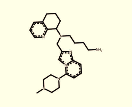 CN1CCN(c2cccc3nc(CN(CCCCN)C4CCCc5cccnc54)cn23)CC1